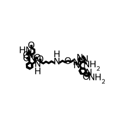 Nc1nc2cc(-c3nn(CCOCCCNCCCCCC(=O)NC4C(=O)N(C5CCC(=O)NC5=O)C(=O)c5ccccc54)c4ncnc(N)c34)ccc2o1